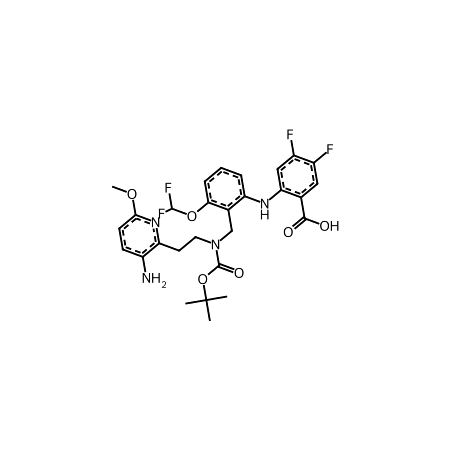 COc1ccc(N)c(CCN(Cc2c(Nc3cc(F)c(F)cc3C(=O)O)cccc2OC(F)F)C(=O)OC(C)(C)C)n1